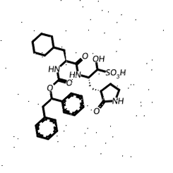 O=C(N[C@@H](CC1CCCCC1)C(=O)N[C@@H](C[C@@H]1CCNC1=O)C(O)S(=O)(=O)O)OC(Cc1ccccc1)c1ccccc1